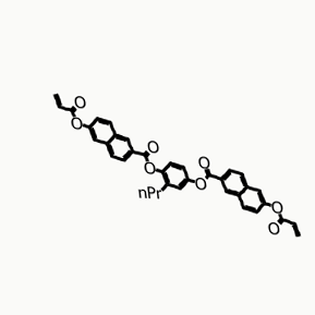 C=CC(=O)Oc1ccc2cc(C(=O)Oc3ccc(OC(=O)c4ccc5cc(OC(=O)C=C)ccc5c4)c(CCC)c3)ccc2c1